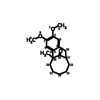 COc1cc2c(cc1OC)C1(C)CCCCCC(C2)C1=O